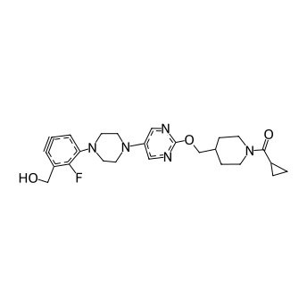 O=C(C1CC1)N1CCC(COc2ncc(N3CCN(c4cc#cc(CO)c4F)CC3)cn2)CC1